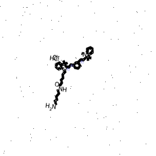 C[N+]1=C(/C=C/C2=CC(=C/C=C3/N(CCCCCC(=O)NCCCCCCN)c4ccccc4C3(C)C)/CCC2)C(C)(C)c2ccccc21.Cl.[Cl-]